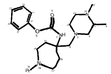 CC1CN(CC2(NC(=O)Oc3ccccc3)CCN(C(C)C)CC2)CCN1C